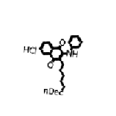 CCCCCCCCCCCCCCCC1=C(Nc2ccccc2)C(=O)c2ccccc2C1=O.Cl